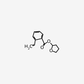 C=Cc1ccccc1C(=O)OC1CCCO1